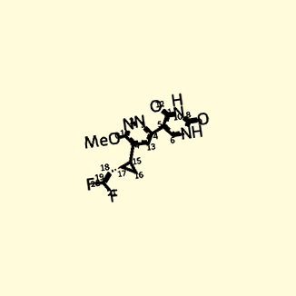 COc1nnc(-c2c[nH]c(=O)[nH]c2=O)cc1C1C[C@@H]1C=C(F)F